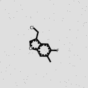 Cc1cc2occ(CCl)c2cc1F